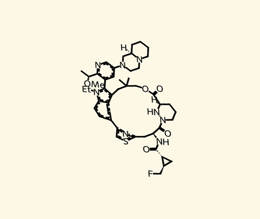 CCn1c(-c2cc(N3CCN4CCCC[C@@H]4C3)cnc2[C@H](C)OC)c2c3cc(ccc31)-c1csc(n1)C[C@H](NC(=O)[C@@H]1C[C@H]1CF)C(=O)N1CCC[C@H](N1)C(=O)OCC(C)(C)C2